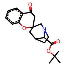 CC(C)(C)OC(=O)C1C2CCN1CC1(CC(=O)c3ccccc3O1)C2